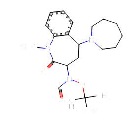 CN1C(=O)C(N(C=O)OC(C)(C)C)CC(N2CCCCCC2)c2ccccc21